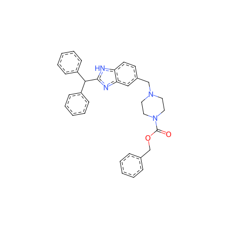 O=C(OCc1ccccc1)N1CCN(Cc2ccc3[nH]c(C(c4ccccc4)c4ccccc4)nc3c2)CC1